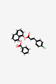 O=C(C=Cc1ccc(F)cc1)Oc1cccc2cccc(OC(=O)c3ccccc3)c12